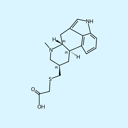 CN1C[C@H](CSCC(=O)O)C[C@@H]2c3cccc4[nH]cc(c34)C[C@H]21